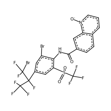 O=C(Nc1c(Br)cc(C(F)(C(F)(F)F)C(F)(F)Br)cc1S(=O)(=O)C(F)(F)F)c1ccc2ccc[n+]([O-])c2c1